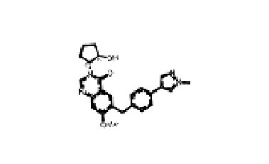 COc1cc2ncn([C@@H]3CCC[C@H]3O)c(=O)c2cc1Cc1ccc(-c2cnn(C)c2)cc1